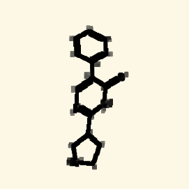 O=c1[nH]c(C2CCNC2)ncc1-c1ccccc1